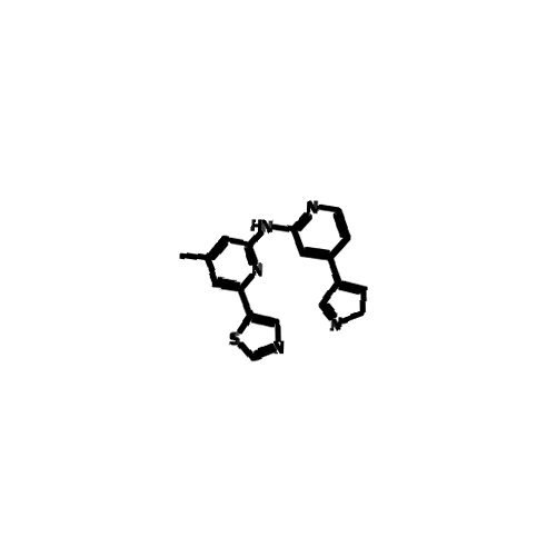 Cc1cc(Nc2cc(C3=CCN=C3)ccn2)nc(-c2cncs2)c1